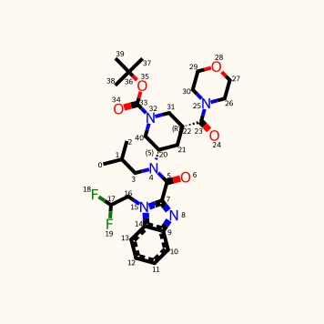 CC(C)CN(C(=O)c1nc2ccccc2n1CC(F)F)[C@H]1C[C@@H](C(=O)N2CCOCC2)CN(C(=O)OC(C)(C)C)C1